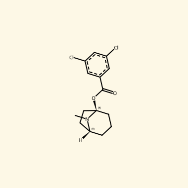 CN1[C@@H]2CCC[C@@]1(OC(=O)c1cc(Cl)cc(Cl)c1)CC2